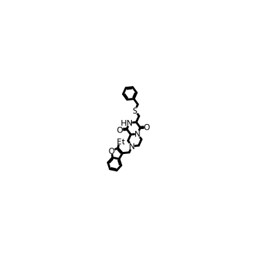 CCc1oc2ccccc2c1CN1CCN2C(=O)C(CSCc3ccccc3)NC(=O)C2C1